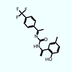 C=C(NC(=O)/N=C(\C)c1ccc(C(F)(F)F)cc1)c1cc(C)ccc1O